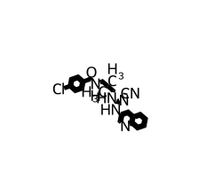 CC(C)(CNC(=O)c1ccc(Cl)cc1)CNC(=NC#N)Nc1cnc2ccccc2c1